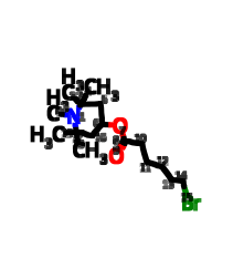 CN1C(C)(C)CC(OC(=O)CCCCCBr)CC1(C)C